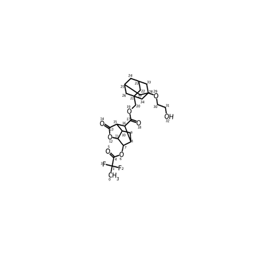 CC(F)(F)C(=O)OC1C2CC3C1OC(=O)C3C2C(=O)OCC12CC3CC(C1)CC(OCCO)(C3)C2